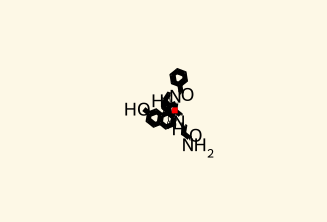 NC(=O)CCN1CC[C@@]23c4cc(O)ccc4C[C@@H]1[C@]21CCC2C3[C@@H](CN2C(=O)c2ccccc2)C1